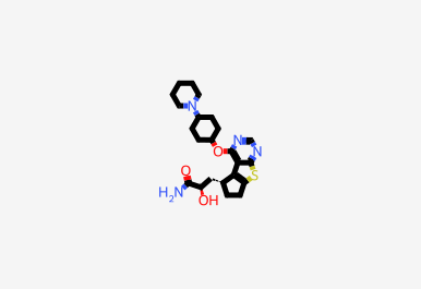 NC(=O)[C@H](O)C[C@H]1CCc2sc3ncnc(OC4CCC(N5CCCCC5)CC4)c3c21